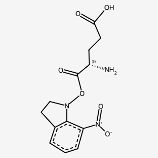 N[C@@H](CCC(=O)O)C(=O)ON1CCc2cccc([N+](=O)[O-])c21